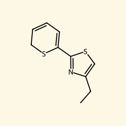 CCc1csc(C2=CC=CCS2)n1